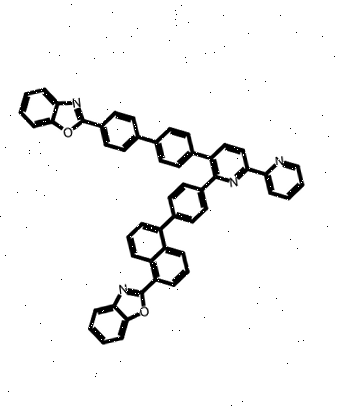 c1ccc(-c2ccc(-c3ccc(-c4ccc(-c5nc6ccccc6o5)cc4)cc3)c(-c3ccc(-c4cccc5c(-c6nc7ccccc7o6)cccc45)cc3)n2)nc1